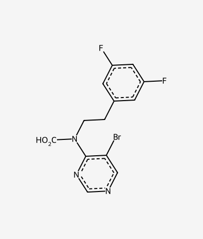 O=C(O)N(CCc1cc(F)cc(F)c1)c1ncncc1Br